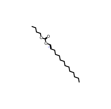 CCCCCCCCCCCC/C=C/OC(=O)OCCCC